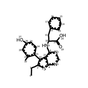 CCc1sc2ncnc(NC(Cc3ccccc3)C(=O)O)c2c1-c1ccc(O)cc1C